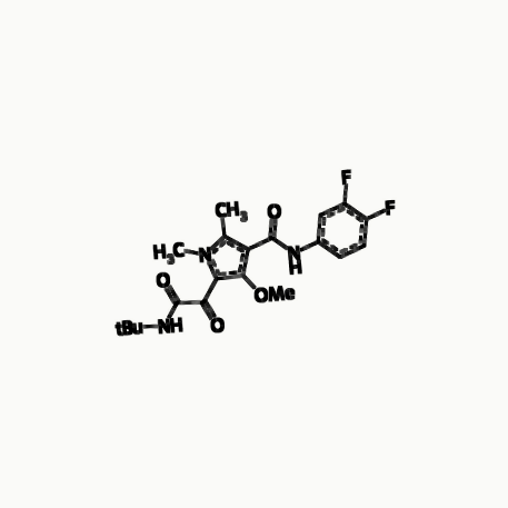 COc1c(C(=O)Nc2ccc(F)c(F)c2)c(C)n(C)c1C(=O)C(=O)NC(C)(C)C